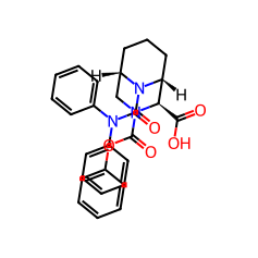 O=C(O)[C@@H]1[C@H]2CCC[C@@H](CN1C(=O)Oc1ccccc1)N2C(=O)N(c1ccccc1)c1ccccc1